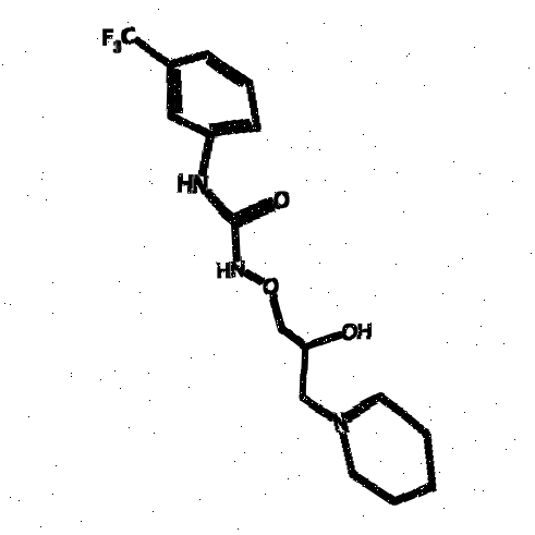 O=C(NOCC(O)CN1CCCCC1)Nc1cccc(C(F)(F)F)c1